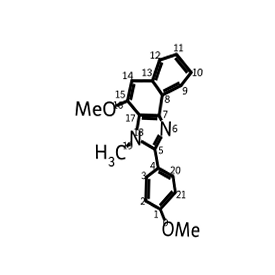 COc1ccc(-c2nc3c4ccccc4cc(OC)c3n2C)cc1